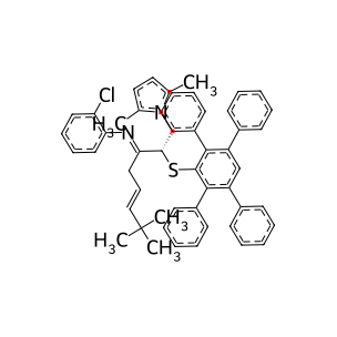 Cc1ccc(C)n1C[C@H](Sc1c(-c2ccccc2)c(-c2ccccc2)cc(-c2ccccc2)c1-c1ccccc1)/C(C/C=C/C(C)(C)C)=N/c1ccccc1Cl